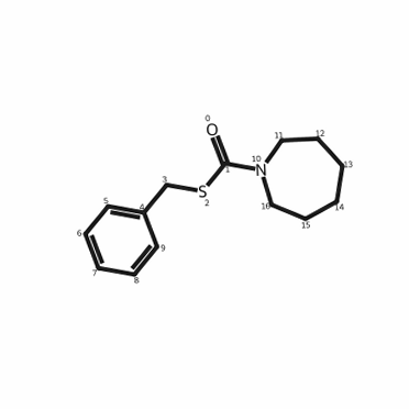 O=C(SCc1ccccc1)N1CCCCCC1